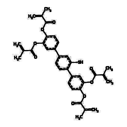 C=C(C)C(=O)Oc1ccc(-c2ccc(-c3ccc(OC(=O)C(=C)C)c(OC(=O)C(=C)C)c3)c(S)c2)cc1OC(=O)C(=C)C